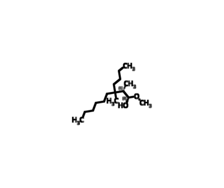 CCCCCCC(C)(CCCC)[C@H](C)[C@H](O)OC